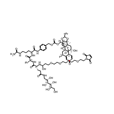 CCCC1O[C@@H]2C[C@H]3[C@@H]4C[C@H](F)C5=CC(=O)C=C[C@]5(C)[C@@]4(F)[C@@H](O)C[C@]3(C)[C@]2(C(=O)COC(=O)OCc2ccc(NC(=O)[C@H](CCCNC(N)=O)NC(=O)[C@@H](NC(=O)[C@@H](CCC(=O)NC[C@H](O)[C@@H](O)[C@H](O)[C@H](O)CO)NC(O)CCOCCOCCOCCOCCN3C(=O)C=CC3=O)C(C)C)cc2)O1